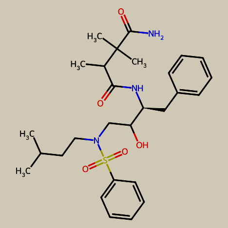 CC(C)CCN(CC(O)[C@H](Cc1ccccc1)NC(=O)C(C)C(C)(C)C(N)=O)S(=O)(=O)c1ccccc1